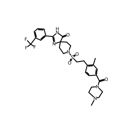 Cc1cc(C(=O)N2CCN(C)CC2)ccc1CCS(=O)(=O)N1CCC2(CC1)N=C(c1cccc(C(F)(F)F)c1)NC2=O